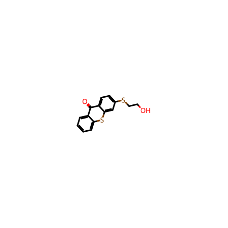 O=c1c2ccccc2sc2cc(SCCO)ccc12